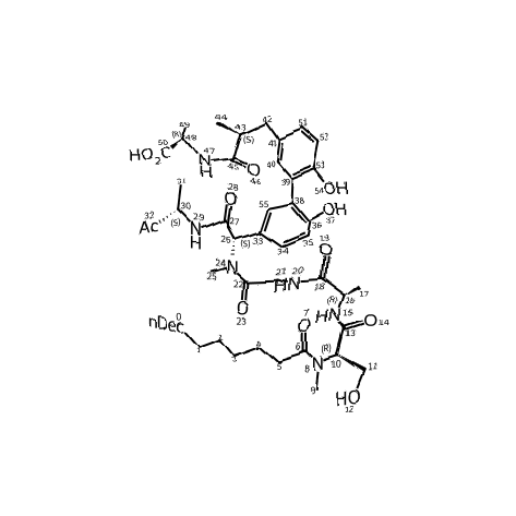 CCCCCCCCCCCCCCCC(=O)N(C)[C@H](CO)C(=O)N[C@H](C)C(=O)NCC(=O)N(C)[C@H](C(=O)N[C@@H](C)C(C)=O)c1ccc(O)c(-c2cc(C[C@H](C)C(=O)N[C@H](C)C(=O)O)ccc2O)c1